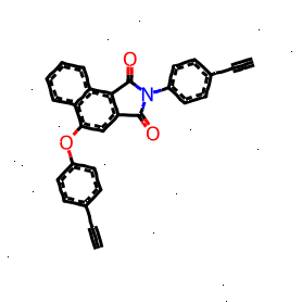 C#Cc1ccc(Oc2cc3c(c4ccccc24)C(=O)N(c2ccc(C#C)cc2)C3=O)cc1